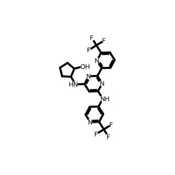 OC1CCCC1Nc1cc(Nc2ccnc(C(F)(F)F)c2)nc(-c2cccc(C(F)(F)F)n2)n1